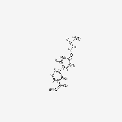 COC(=O)c1cccc(-c2cc(C)c(OCC[C@H](C)N=O)nc2C)c1C